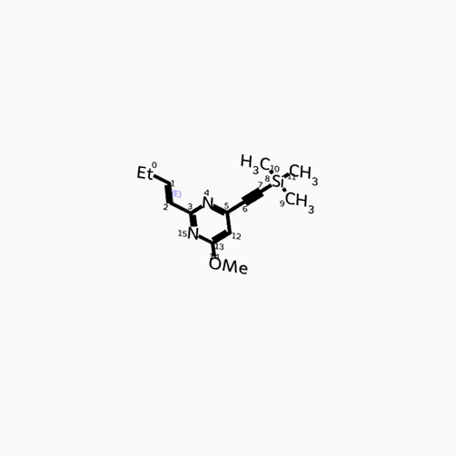 CC/C=C/c1nc(C#C[Si](C)(C)C)cc(OC)n1